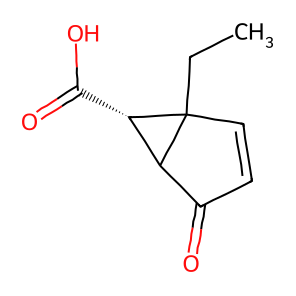 CCC12C=CC(=O)C1[C@@H]2C(=O)O